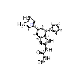 C=C/C(=C\N)c1cc(-n2cccn2)c2[nH]c(NC(=O)NCC)nc2c1